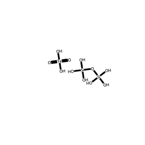 O=[Te](=O)(O)O.O[Si](O)(O)O[Si](O)(O)O